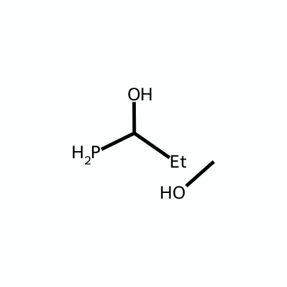 CCC(O)P.CO